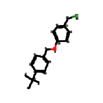 CC(C)(C)c1ccc(COc2ccc(CCl)cc2)cc1